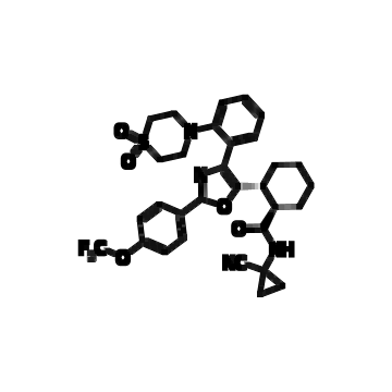 N#CC1(NC(=O)[C@@H]2CCCC[C@H]2c2oc(-c3ccc(OC(F)(F)F)cc3)nc2-c2ccccc2N2CCS(=O)(=O)CC2)CC1